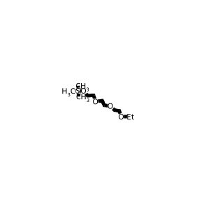 [CH2]COCCOCCOCCO[Si](C)(C)C